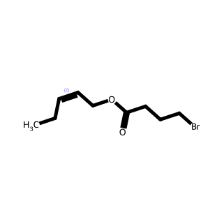 CC/C=C\COC(=O)CCCBr